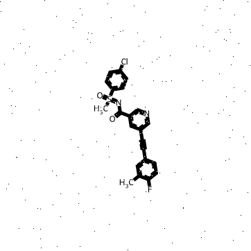 Cc1cc(C#Cc2cncc(C(=O)N=S(C)(=O)c3ccc(Cl)cc3)c2)ccc1F